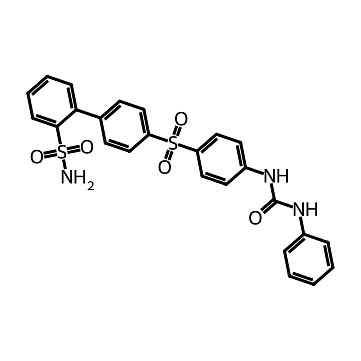 NS(=O)(=O)c1ccccc1-c1ccc(S(=O)(=O)c2ccc(NC(=O)Nc3ccccc3)cc2)cc1